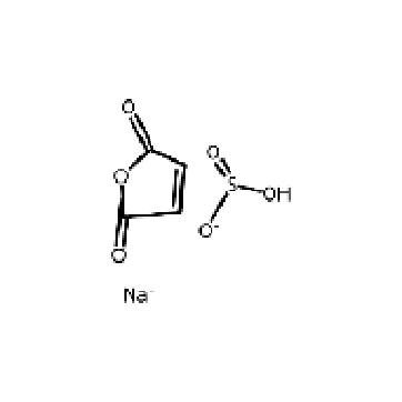 O=C1C=CC(=O)O1.O=S([O-])O.[Na+]